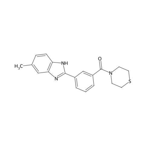 Cc1ccc2[nH]c(-c3cccc(C(=O)N4CCSCC4)c3)nc2c1